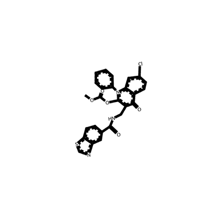 COC(=O)Oc1c(CNC(=O)c2ccc3scnc3c2)c(=O)c2ccc(Cl)cc2n1-c1ccccc1